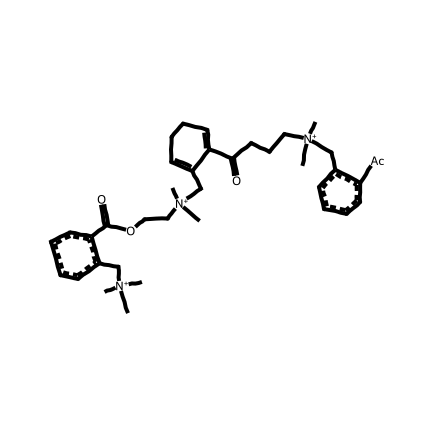 CC(=O)c1ccccc1C[N+](C)(C)CCCC(=O)C1=CCCC=C1C[N+](C)(C)CCOC(=O)c1ccccc1C[N+](C)(C)C